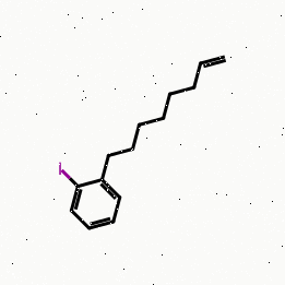 C=CCCCCCCc1ccccc1I